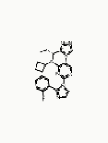 CC[C@@H]1c2nncn2-c2cnc(-n3ccnc3-c3ccccc3F)nc2N1C1CCC1